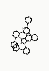 c1ccc(-c2cc(-c3ccccc3)nc(-c3cccc(-c4ccccc4)c3-c3sc(-c4ccccc4-c4ccccc4)c4ccccc34)n2)cc1